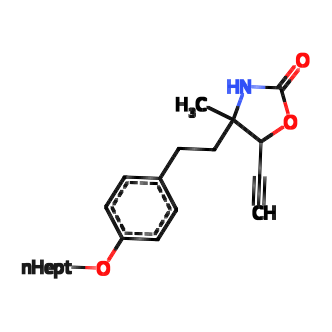 C#CC1OC(=O)NC1(C)CCc1ccc(OCCCCCCC)cc1